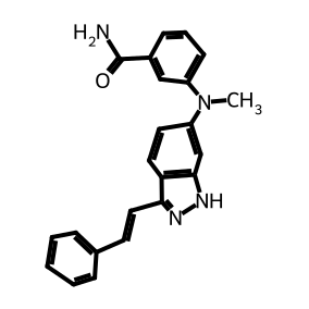 CN(c1cccc(C(N)=O)c1)c1ccc2c(C=Cc3ccccc3)n[nH]c2c1